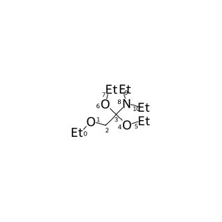 CCOCC(OCC)(OCC)N(CC)CC